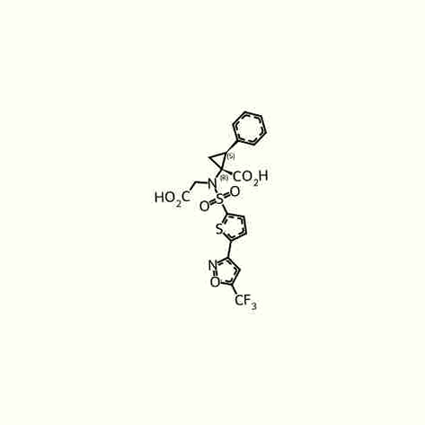 O=C(O)CN([C@]1(C(=O)O)C[C@H]1c1ccccc1)S(=O)(=O)c1ccc(-c2cc(C(F)(F)F)on2)s1